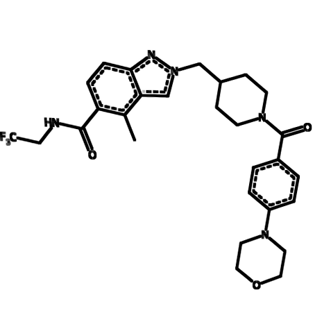 Cc1c(C(=O)NCC(F)(F)F)ccc2nn(CC3CCN(C(=O)c4ccc(N5CCOCC5)cc4)CC3)cc12